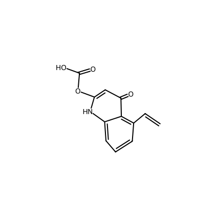 C=Cc1cccc2[nH]c(OC(=O)O)cc(=O)c12